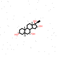 C#C[C@]1(O)[C@H](O)CC2C3C(CC[C@@]21C)[C@@]1(C)CC[C@H](O)C[C@H]1C[C@H]3O